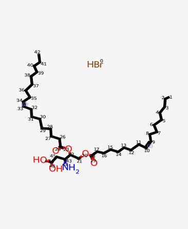 Br.CCCCCCCC/C=C\CCCCCCCC(=O)OCC(OC(=O)CCCCCCC/C=C\CCCCCCCC)C(N)CC(O)O